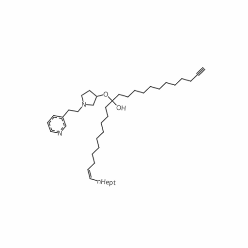 C#CCCCCCCCCCCC(O)(CCCCCCCC/C=C\CCCCCCC)OC1CCN(CCc2cccnc2)C1